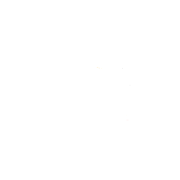 O=[PH]1CCCCC2C(=Cc3ccccc32)CC[PH](=O)CC2CCC(CC1)C2